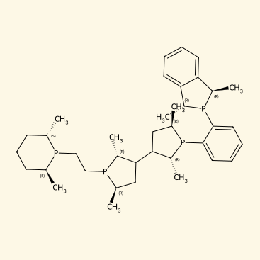 C[C@@H]1CC(C2C[C@@H](C)P(c3ccccc3P3[C@H](C)c4ccccc4[C@H]3C)[C@@H]2C)[C@@H](C)P1CCP1[C@@H](C)CCC[C@@H]1C